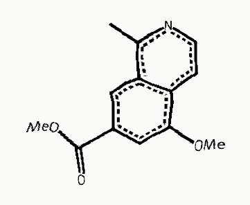 COC(=O)c1cc(OC)c2ccnc(C)c2c1